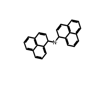 C1=CC([N]C2C=Cc3cccc4cccc2c34)c2cccc3cccc1c23